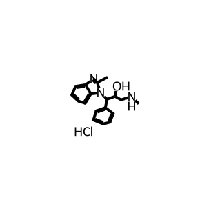 CNCC(O)C(c1ccccc1)n1c(C)nc2ccccc21.Cl